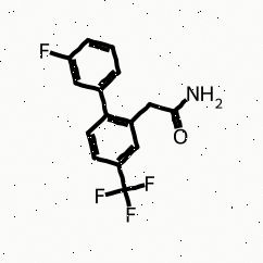 NC(=O)Cc1cc(C(F)(F)F)ccc1-c1cccc(F)c1